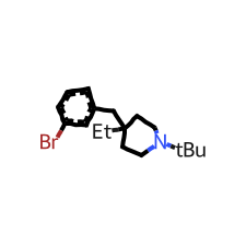 CCC1(Cc2cccc(Br)c2)CCN(C(C)(C)C)CC1